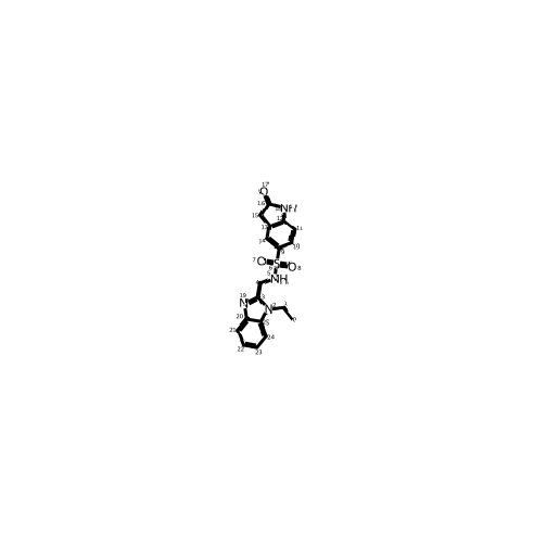 CCn1c(CNS(=O)(=O)c2ccc3c(c2)CC(=O)N3)nc2ccccc21